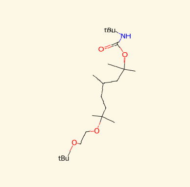 CC(CCC(C)(C)OCCOC(C)(C)C)CC(C)(C)OC(=O)NC(C)(C)C